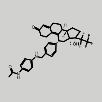 CC(=O)Nc1ccc(NCc2ccc([C@H]3C[C@@]4(C)[C@@H](CC[C@@]4(O)C(F)(F)C(F)(F)F)[C@@H]4CCC5=CC(=O)CCC5=C43)cc2)cc1